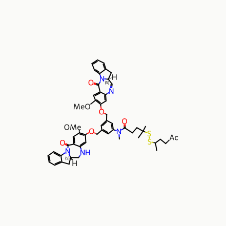 COc1cc2c(cc1OCc1cc(COc3cc4c(cc3OC)C(=O)N3c5ccccc5C[C@H]3CN4)cc(N(C)C(=O)CCC(C)(C)SSC(C)CCC(C)=O)c1)N=C[C@@H]1Cc3ccccc3N1C2=O